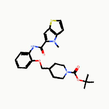 Cn1c(C(=O)Nc2ccccc2OCC2CCN(C(=O)OC(C)(C)C)CC2)cc2sccc21